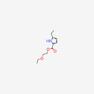 CCOCCOC(=O)c1ccc(CC)[nH]1